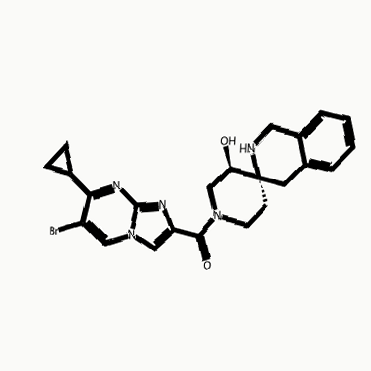 O=C(c1cn2cc(Br)c(C3CC3)nc2n1)N1CC[C@]2(Cc3ccccc3CN2)[C@H](O)C1